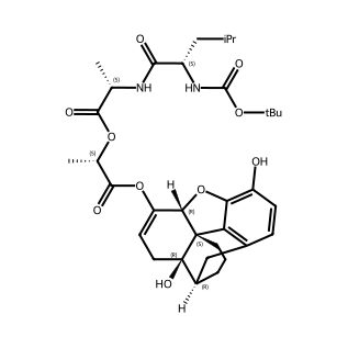 CC(C)C[C@H](NC(=O)OC(C)(C)C)C(=O)N[C@@H](C)C(=O)O[C@@H](C)C(=O)OC1=CC[C@@]2(O)[C@@H]3CCC[C@@]24c2c(ccc(O)c2O[C@@H]14)C3